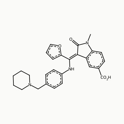 CN1C(=O)C(=C(Nc2ccc(CN3CCCCC3)cc2)c2ccco2)c2cc(C(=O)O)ccc21